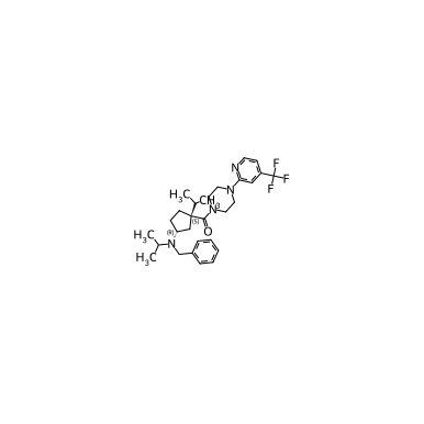 CC(C)N(Cc1ccccc1)[C@@H]1CC[C@@](C(=O)N2CCN(c3cc(C(F)(F)F)ccn3)CC2)(C(C)C)C1